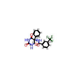 O=C1NC(=O)C(NC(=O)c2cccc(C(F)(F)F)c2)(c2ccccc2)C(=O)N1